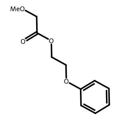 COCC(=O)OCCOc1ccccc1